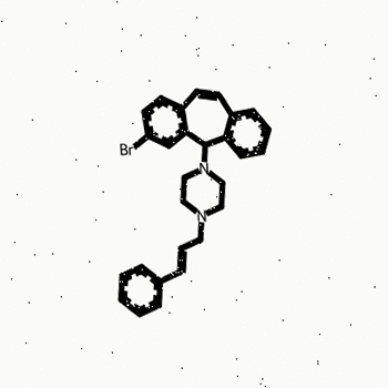 Brc1ccc2c(c1)C(N1CCN(C/C=C/c3ccccc3)CC1)c1ccccc1C=C2